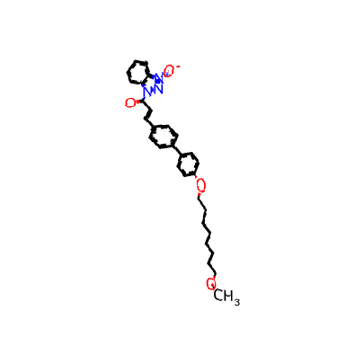 COCCCCCCCCOc1ccc(-c2ccc(C=CC(=O)n3n[n+]([O-])c4ccccc43)cc2)cc1